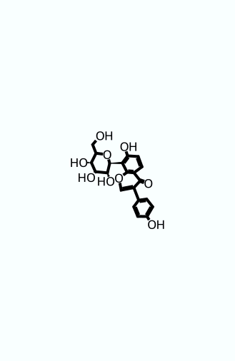 O=c1c(-c2ccc(O)cc2)coc2c([C@@H]3OC(CO)[C@@H](O)C(O)[C@@H]3O)c(O)ccc12